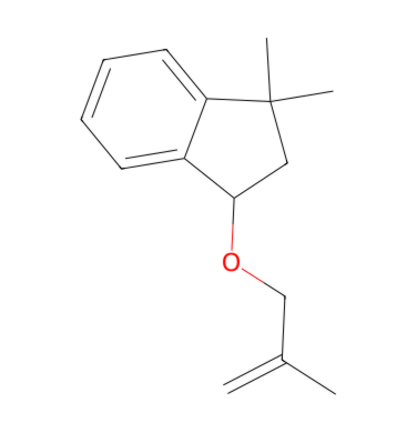 C=C(C)COC1CC(C)(C)c2ccccc21